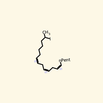 CCCCC/C=C\C/C=C\C/C=C\CCCCC(C)I